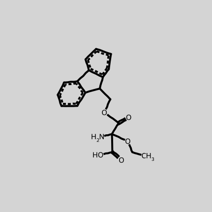 CCOC(N)(C(=O)O)C(=O)OCC1c2ccccc2-c2ccccc21